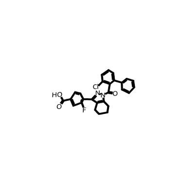 O=C(O)c1ccc(-c2nn(C(=O)c3c(Cl)cccc3-c3ccccc3)c3c2CCCC3)c(F)c1